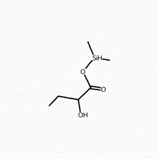 CCC(O)C(=O)O[SiH](C)C